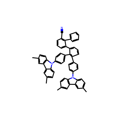 Cc1ccc2c(c1)c1cc(C)ccc1n2-c1ccc(-c2cccc(-c3cccc(C#N)c3-c3ccccc3)c2-c2ccc(-n3c4ccc(C)cc4c4cc(C)ccc43)cc2)cc1